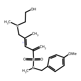 C=C(/C=C(\C)CN(C)CCO)S(=O)(=O)N(C)Cc1ccc(OC)cc1